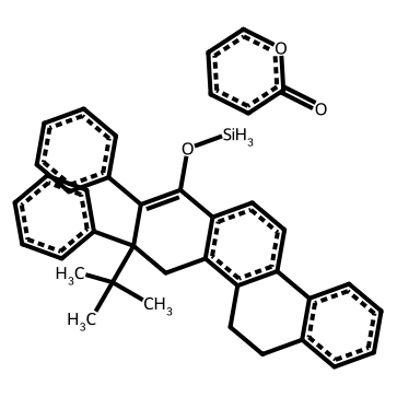 CC(C)(C)C1(c2ccccc2)Cc2c(ccc3c2CCc2ccccc2-3)C(O[SiH3])=C1c1ccccc1.O=c1cccco1